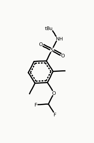 Cc1ccc(S(=O)(=O)NC(C)(C)C)c(C)c1OC(F)F